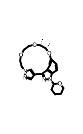 C[C@@H]1Oc2ccc3c(c2)c(nn3C2CCCCO2)-c2cnn(c2)CCOCCO[C@@H]1C